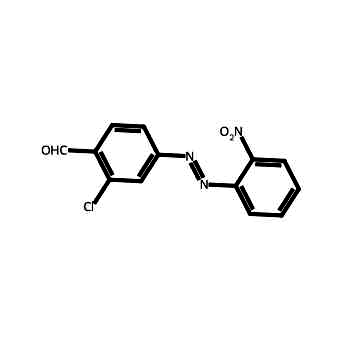 O=Cc1ccc(N=Nc2ccccc2[N+](=O)[O-])cc1Cl